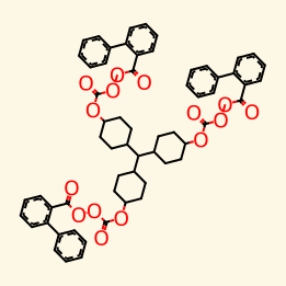 O=C(OOC(=O)c1ccccc1-c1ccccc1)OC1CCC(C(C2CCC(OC(=O)OOC(=O)c3ccccc3-c3ccccc3)CC2)C2CCC(OC(=O)OOC(=O)c3ccccc3-c3ccccc3)CC2)CC1